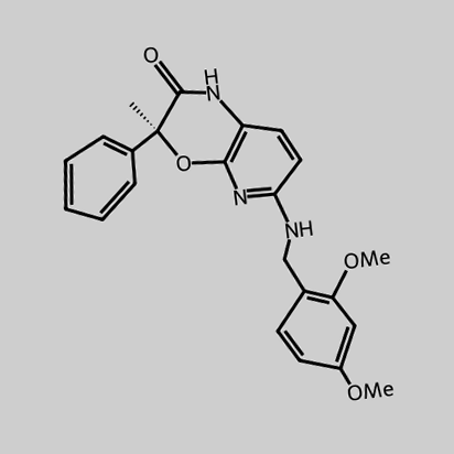 COc1ccc(CNc2ccc3c(n2)O[C@@](C)(c2ccccc2)C(=O)N3)c(OC)c1